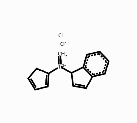 [CH2]=[Ti+2]([C]1=CC=CC1)[CH]1C=Cc2ccccc21.[Cl-].[Cl-]